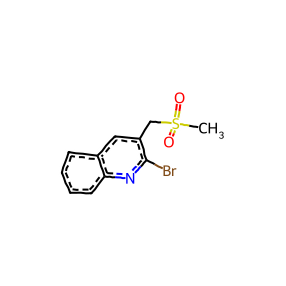 CS(=O)(=O)Cc1cc2ccccc2nc1Br